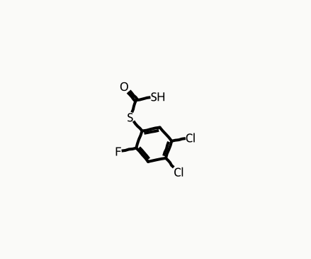 O=C(S)Sc1cc(Cl)c(Cl)cc1F